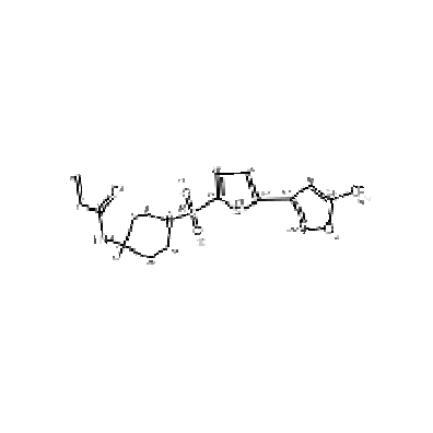 C=CC(=O)NC1(C)CCN(S(=O)(=O)c2ccc(-c3cc(C(F)(F)F)on3)s2)CC1